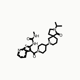 CNC(=O)Nc1sc2ncccc2c1C(=O)N1CCC(N2CCCC3(CCN(C(C)C)C3=O)C2)CC1